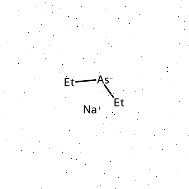 CC[As-]CC.[Na+]